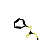 CSC(=S)Sc1[c]cccc1